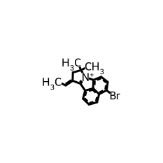 C/C=C1\CC(C)(C)[N+]2=C1c1cccc3c(Br)ccc2c13